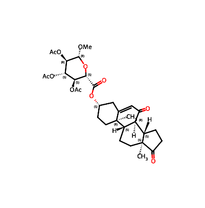 CO[C@@H]1O[C@H](C(=O)O[C@H]2CC[C@@]3(C)C(=CC(=O)[C@@H]4[C@@H]3CC[C@]3(C)C(=O)CC[C@@H]43)C2)[C@@H](OC(C)=O)[C@H](OC(C)=O)[C@H]1OC(C)=O